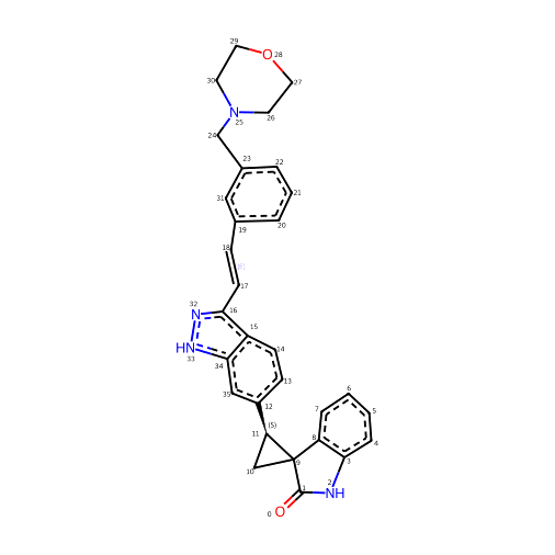 O=C1Nc2ccccc2C12C[C@H]2c1ccc2c(/C=C/c3cccc(CN4CCOCC4)c3)n[nH]c2c1